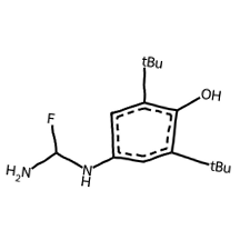 CC(C)(C)c1cc(NC(N)F)cc(C(C)(C)C)c1O